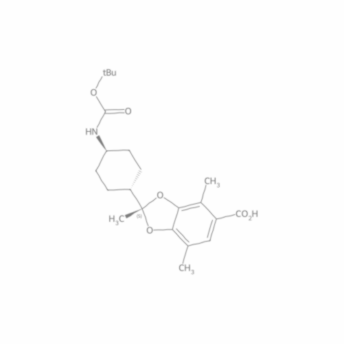 Cc1cc(C(=O)O)c(C)c2c1O[C@](C)([C@H]1CC[C@H](NC(=O)OC(C)(C)C)CC1)O2